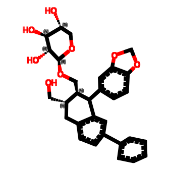 OC[C@H]1Cc2ccc(-c3ccccc3)cc2C(c2ccc3c(c2)OCO3)[C@@H]1CO[C@@H]1OC[C@@H](O)[C@H](O)[C@H]1O